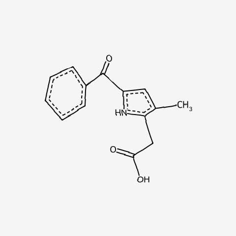 Cc1cc(C(=O)c2ccccc2)[nH]c1CC(=O)O